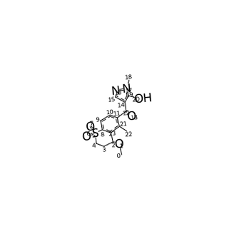 COC1CCS(=O)(=O)c2ccc(C(=O)c3cnn(C)c3O)c(C)c21